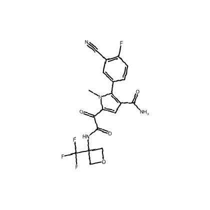 Cn1c(C(=O)C(=O)NC2(C(F)(F)F)COC2)cc(C(N)=O)c1-c1ccc(F)c(C#N)c1